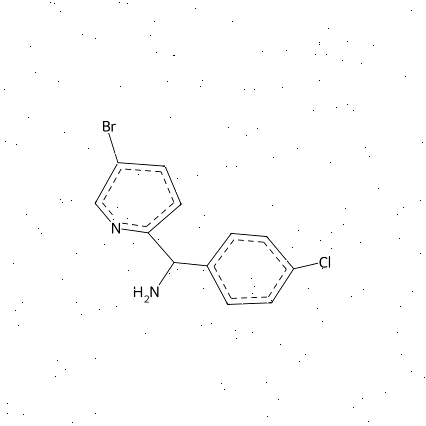 NC(c1ccc(Cl)cc1)c1ccc(Br)cn1